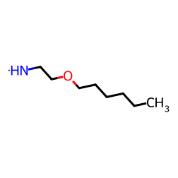 CCCCCCOCC[NH]